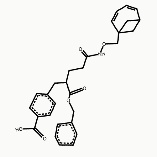 O=C(CCC(Cc1ccc(C(=O)O)cc1)C(=O)OCc1ccccc1)NOCC12C=CC=CC(C1)C2